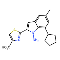 Cc1cc(C2CCCC2)c2c(c1)cc(-c1nc(C(=O)O)cs1)n2N